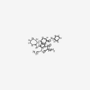 CCc1c(C(=O)C(N)=O)c2c(OCc3ccccc3)cccn2c1CC1CCCCCC1